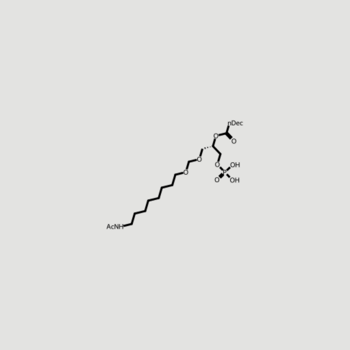 CCCCCCCCCCC(=O)O[C@@H](COCOCCCCCCCCNC(C)=O)COP(=O)(O)O